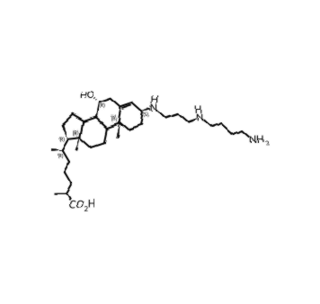 CC(CCC[C@@H](C)[C@H]1CCC2C3C(CC[C@@]21C)[C@@]1(C)CC[C@H](NCCCNCCCCN)C=C1C[C@H]3O)C(=O)O